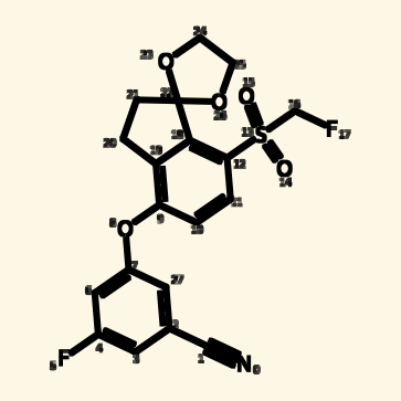 N#Cc1cc(F)cc(Oc2ccc(S(=O)(=O)CF)c3c2CCC32OCCO2)c1